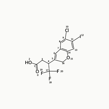 O=C(O)CC(C1=Cc2cc(Cl)c(I)cc2OC1)C(F)(F)F